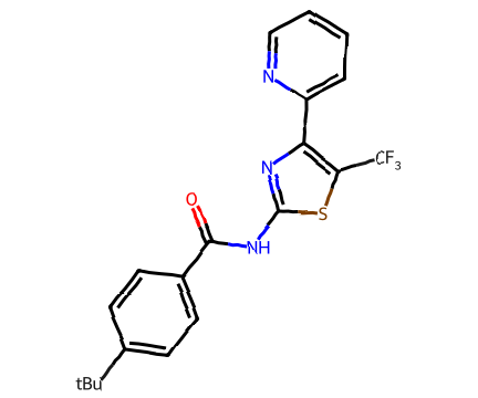 CC(C)(C)c1ccc(C(=O)Nc2nc(-c3ccccn3)c(C(F)(F)F)s2)cc1